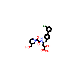 O=C(N[C@H](Cc1ccc(-c2cccc(Cl)c2)cc1)C[C@@H](O)C(=O)O)C(=O)N1CCCC(CO)C1